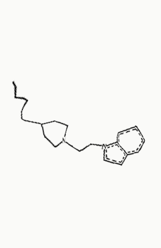 CCCCC1CCN(CCn2ccc3ccccc32)CC1